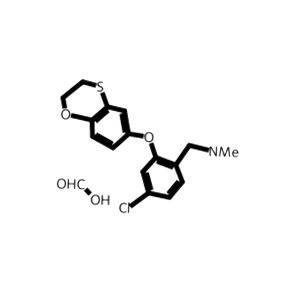 CNCc1ccc(Cl)cc1Oc1ccc2c(c1)SCCO2.O=CO